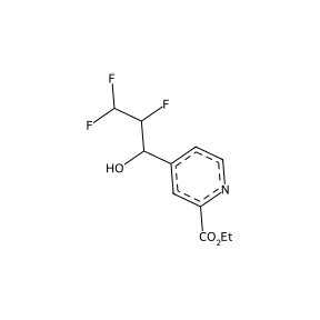 CCOC(=O)c1cc(C(O)C(F)C(F)F)ccn1